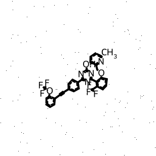 Cc1cccc(COc2cccc(C(F)(F)F)c2-c2nc(O)nc(-c3ccc(C#Cc4ccccc4OC(F)(F)F)cc3)n2)n1